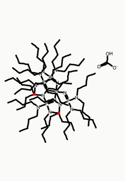 CCCCN(CCCC)P(=N[P+](N=P(N(CCCC)CCCC)(N(CCCC)CCCC)N(CCCC)CCCC)(N=P(N(CCCC)CCCC)(N(CCCC)CCCC)N(CCCC)CCCC)N=P(N(CCCC)CCCC)(N(CCCC)CCCC)N(CCCC)CCCC)(N(CCCC)CCCC)N(CCCC)CCCC.O=C([O-])O